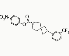 O=C(Oc1ccc([N+](=O)[O-])cc1)N1CCC2(CC1)CC(c1cccc(C(F)(F)F)c1)C2